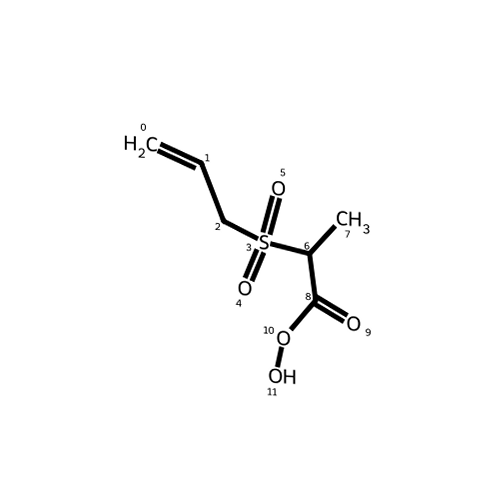 C=CCS(=O)(=O)C(C)C(=O)OO